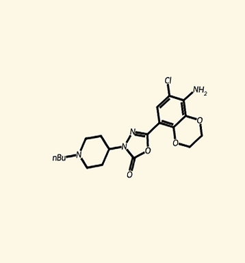 CCCCN1CCC(n2nc(-c3cc(Cl)c(N)c4c3OCCO4)oc2=O)CC1